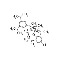 COP(=O)(NC(=O)Cc1c(C(C)C)cc(C(C)C)cc1C(C)C)Oc1c(C(C)C)cc(Cl)cc1C(C)C